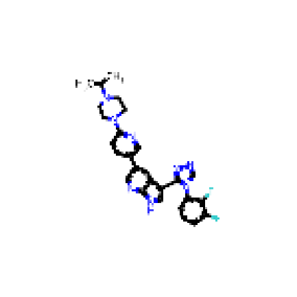 CC(C)N1CCN(c2ccc(-c3cnc4[nH]cc(-c5nncn5-c5cccc(F)c5F)c4c3)cn2)CC1